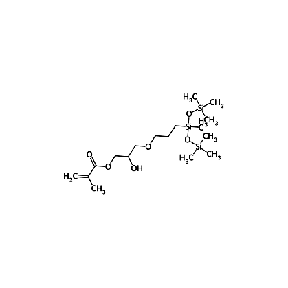 C=C(C)C(=O)OCC(O)COCCC[Si](C)(O[Si](C)(C)C)O[Si](C)(C)C